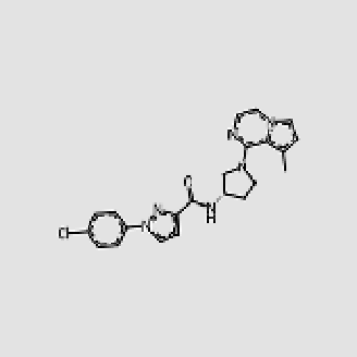 Cc1ccn2ccnc(N3CC[C@H](NC(=O)c4ccn(-c5ccc(Cl)cc5)n4)C3)c12